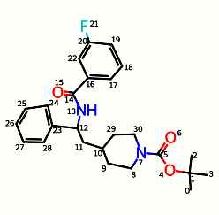 CC(C)(C)OC(=O)N1CCC(CC(NC(=O)c2cccc(F)c2)c2ccccc2)CC1